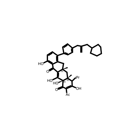 C=C(Cc1ccc(-c2ccc(O)c3c2C[C@]2(C)C[C@]4(C)C(C(C)C)C(O)=C(C(C)=O)C(=O)[C@]4(O)C(O)=C2C3=O)cc1)CC1CCCCC1